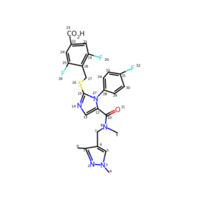 Cc1nn(C)cc1CN(C)C(=O)c1cnc(SCc2c(F)cc(C(=O)O)cc2F)n1-c1ccc(F)cc1